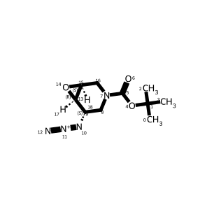 CC(C)(C)OC(=O)N1C[C@H](N=[N+]=[N-])[C@H]2O[C@H]2C1